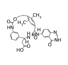 Cc1cc2cc(C)c1CCOC(=O)Nc1cccc(c1)[C@@H](CC(=O)O)NC(=O)[C@@H]2Nc1ccc2nc[nH]c(=O)c2c1